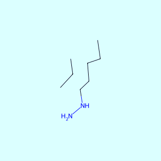 CCC.CCCCCNN